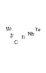 [C].[Mo].[Nb].[Ta].[Ti].[Zr]